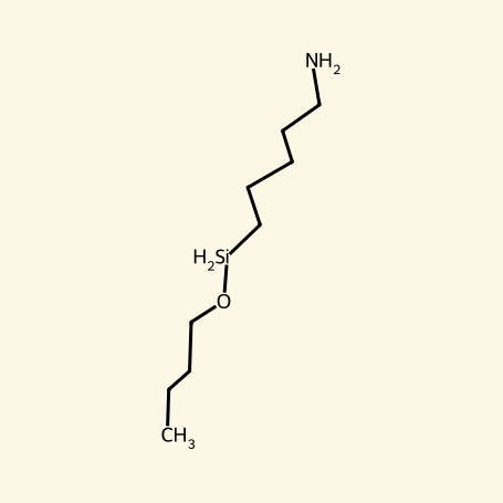 CCCCO[SiH2]CCCCCN